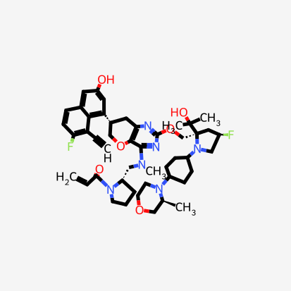 C#Cc1c(F)ccc2cc(O)cc([C@H]3COc4c(nc(OC[C@]5(C(C)(C)O)C[C@@H](F)CN5C5CCC(N6CCOC[C@@H]6C)CC5)nc4N(C)C[C@@H]4CCCN4C(=O)C=C)C3)c12